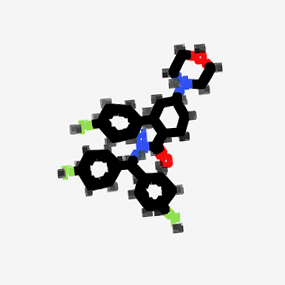 O=C(NC(c1ccc(F)cc1)c1ccc(F)cc1)C1CCC(N2CCOCC2)CC1c1ccc(F)cc1